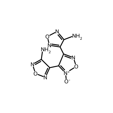 Nc1nonc1-c1no[n+]([O-])c1-c1nonc1N